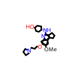 COc1cc2c3c(c(N[C@H]4CC[C@H](O)CC4)nc2cc1OCCCN1CCCC1)CCC3